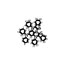 c1ccc(N(c2ccccc2)c2cc3c4c(c2)N(c2ccccc2)c2c(sc5ccccc25)B4c2sc4ccccc4c2N3c2ccccc2)cc1